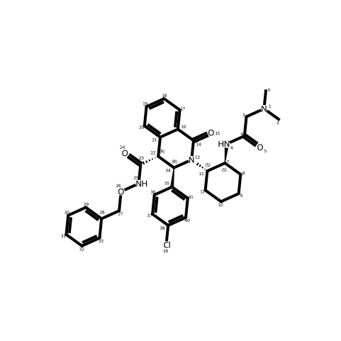 CN(C)CC(=O)N[C@H]1CCCC[C@@H]1N1C(=O)c2ccccc2[C@@H](C(=O)NOCc2ccccc2)[C@@H]1c1ccc(Cl)cc1